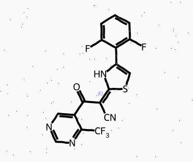 N#C/C(C(=O)c1cncnc1C(F)(F)F)=C1/NC(c2c(F)cccc2F)=CS1